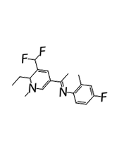 CCC1C(C(F)F)=CC(/C(C)=N/c2ccc(F)cc2C)=CN1C